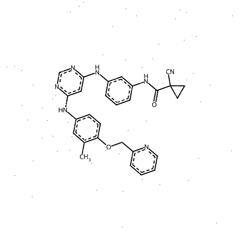 Cc1cc(Nc2cc(Nc3cccc(NC(=O)C4(C#N)CC4)c3)ncn2)ccc1OCc1ccccn1